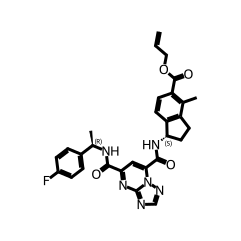 C=CCOC(=O)c1ccc2c(c1C)CC[C@@H]2NC(=O)c1cc(C(=O)N[C@H](C)c2ccc(F)cc2)nc2ncnn12